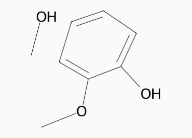 CO.COc1ccccc1O